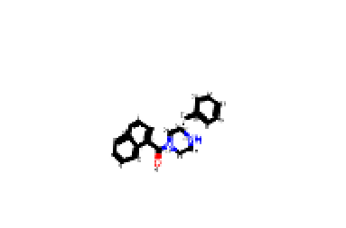 O=C(c1cccc2ccccc12)N1CCN[C@@H](Cc2ccccc2)C1